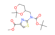 COC(=O)c1csc(N(CC2CCOC(C)(C)O2)C(=O)OC(C)(C)C)n1